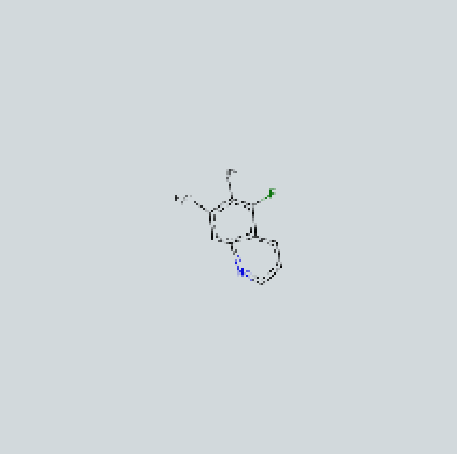 CC(C)c1c(C(F)(F)F)cc2ncccc2c1F